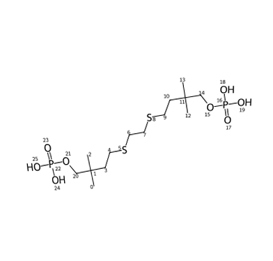 CC(C)(CCSCCSCCC(C)(C)COP(=O)(O)O)COP(=O)(O)O